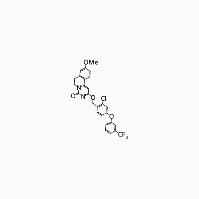 COc1ccc2c(c1)CCn1c-2cc(OCc2ccc(Oc3cccc(C(F)(F)F)c3)cc2Cl)nc1=O